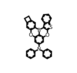 c1ccc(N(c2ccccc2)c2cc3c4c(c2)Oc2sc5ccccc5c2B4c2cc4c(cc2O3)CC4)cc1